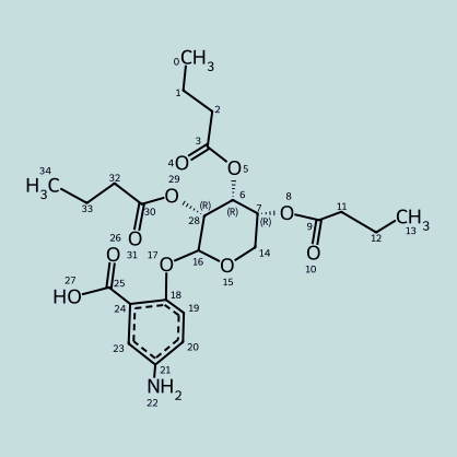 CCCC(=O)O[C@@H]1[C@H](OC(=O)CCC)COC(Oc2ccc(N)cc2C(=O)O)[C@@H]1OC(=O)CCC